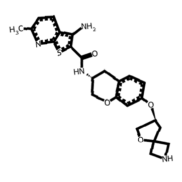 Cc1ccc2c(N)c(C(=O)N[C@H]3COc4cc(O[C@@H]5COC6(CNC6)C5)ccc4C3)sc2n1